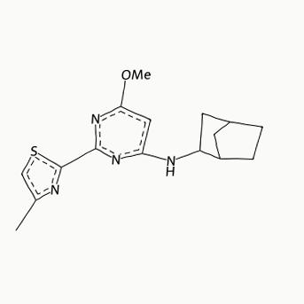 COc1cc(NC2CC3CCC2C3)nc(-c2nc(C)cs2)n1